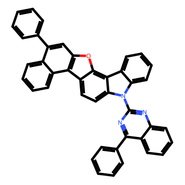 c1ccc(-c2nc(-n3c4ccccc4c4c5oc6cc(-c7ccccc7)c7ccccc7c6c5ccc43)nc3ccccc23)cc1